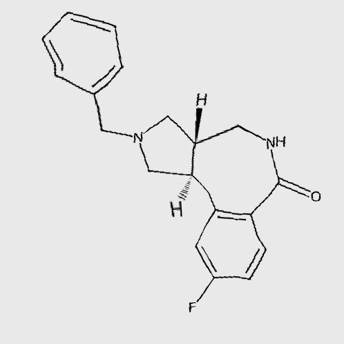 O=C1NC[C@H]2CN(Cc3ccccc3)C[C@@H]2c2cc(F)ccc21